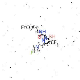 B=C1C(C(F)(F)F)=CC(CCN2CC(F)C2)=NN1CC(=O)NCCC(=O)OCC